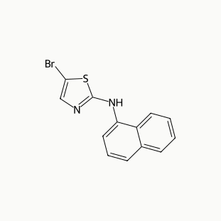 Brc1cnc(Nc2cccc3ccccc23)s1